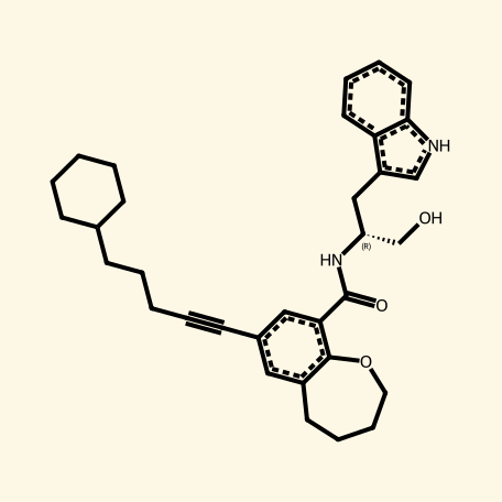 O=C(N[C@@H](CO)Cc1c[nH]c2ccccc12)c1cc(C#CCCCC2CCCCC2)cc2c1OCCCC2